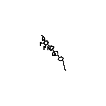 CCCCCC1CCC(C2CCC(c3ccc(-c4ccc(OCC)c(F)c4F)nc3)OC2)CC1